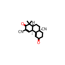 [C-]#[N+]C1=C[C@]2(C)C3=CC(=O)CC[C@]3(C#N)CC[C@H]2C(C)(C)C1=O